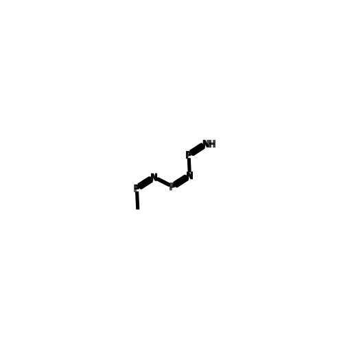 C/P=N\P=N/P=N